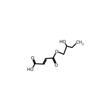 CCC(O)COC(=O)C=CC(=O)O